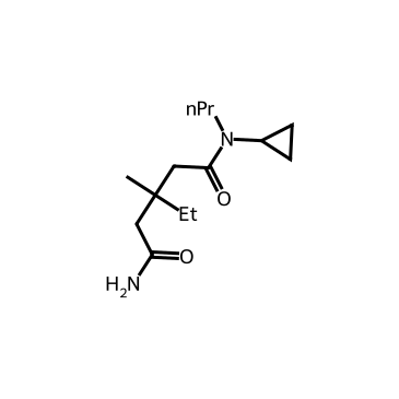 CCCN(C(=O)CC(C)(CC)CC(N)=O)C1CC1